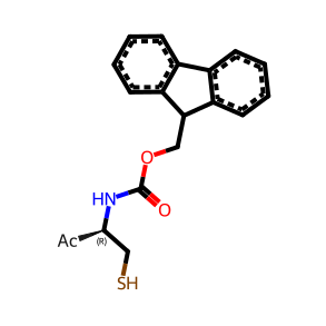 CC(=O)[C@H](CS)NC(=O)OCC1c2ccccc2-c2ccccc21